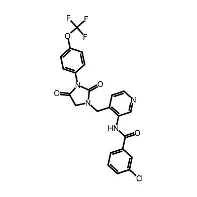 O=C(Nc1cnccc1CN1CC(=O)N(c2ccc(OC(F)(F)F)cc2)C1=O)c1cccc(Cl)c1